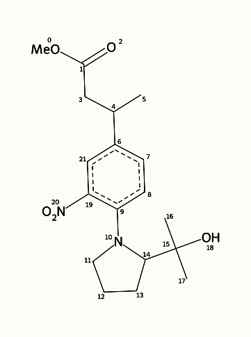 COC(=O)CC(C)c1ccc(N2CCCC2C(C)(C)O)c([N+](=O)[O-])c1